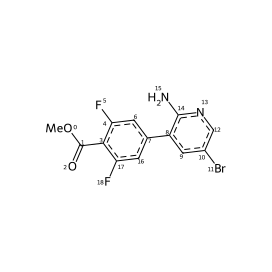 COC(=O)c1c(F)cc(-c2cc(Br)cnc2N)cc1F